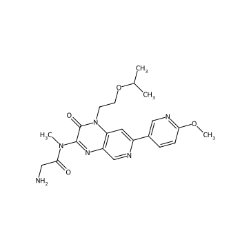 COc1ccc(-c2cc3c(cn2)nc(N(C)C(=O)CN)c(=O)n3CCOC(C)C)cn1